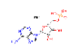 Nc1ncnc2c1ncn2[C@@H]1O[C@H](COP(=O)(O)O)[C@@H](O)[C@H]1O.[NaH]